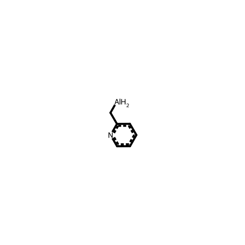 [AlH2][CH2]c1ccccn1